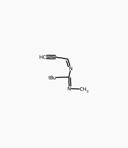 C#C/C=N\C(=N/C)C(C)(C)C